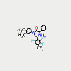 Cc1ccc(N(CCc2c(F)cc(C(F)(F)F)c(F)c2F)C(=O)[C@@H](N)c2ccccc2)cc1C